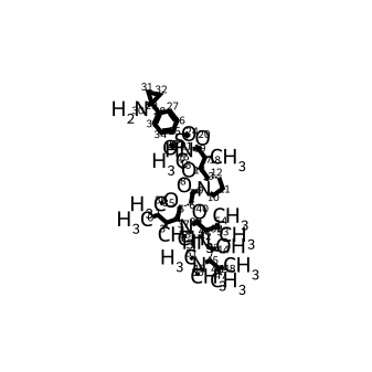 CC[C@H](C)[C@@H]([C@@H](CC(=O)N1CCC[C@H]1[C@H](OC)[C@@H](C)C(=O)NS(=O)(=O)c1ccc(C2(N)CC2)cc1)OC)N(C)C(=O)[C@@H](NC(O)[C@H](C(C)C)N(C)C)C(C)C